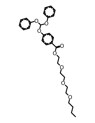 CCCCOCCOCCOCCOC(=O)c1ccc(OC(Oc2ccccc2)Oc2ccccc2)cc1